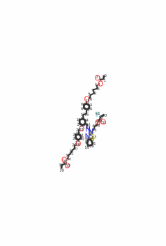 C=CC(=O)OCCCCCCOc1ccc(CCc2ccc(OCc3ccc(OCCCCCCOC(=O)C=C)cc3)c(/C=N/N(CCCOC(=O)C(=C)F)c3nc4ccccc4s3)c2)cc1